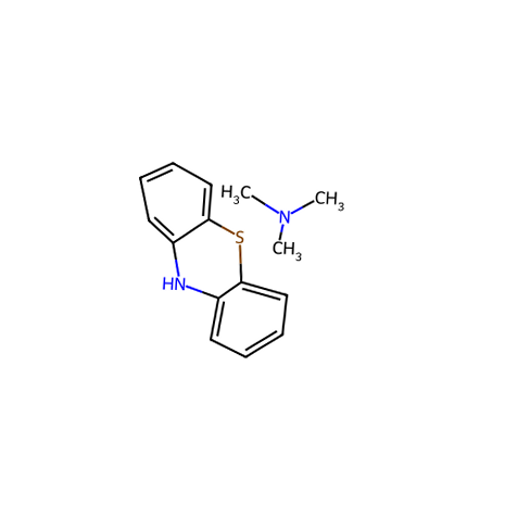 CN(C)C.c1ccc2c(c1)Nc1ccccc1S2